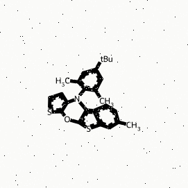 Cc1ccc2c3c(sc2c1)Oc1sccc1N3c1c(C)cc(C(C)(C)C)cc1C